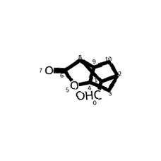 O=CC1C2CC3OC(=O)C1C3C2